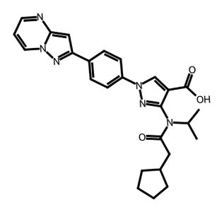 CC(C)N(C(=O)CC1CCCC1)c1nn(-c2ccc(-c3cc4ncccn4n3)cc2)cc1C(=O)O